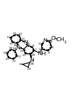 COc1ccc(Nc2cc3nc4ccccc4n(-c4ccccc4)c-3c/c2=N\C2CC2)cn1